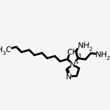 CCCCCCCCCC(C)[N+]1(C(CN)CCN)C=NCC1